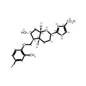 Cc1cc(F)ccc1OC[C@@H]1[C@H]2CC[C@H](c3nc(C(=O)O)cs3)O[C@H]2C[C@H]1O